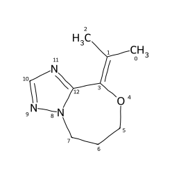 CC(C)=C1OCCCn2ncnc21